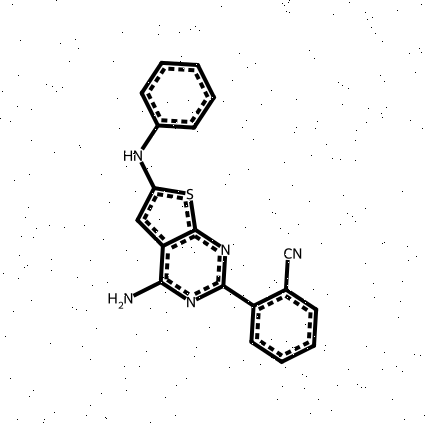 N#Cc1ccccc1-c1nc(N)c2cc(Nc3ccccc3)sc2n1